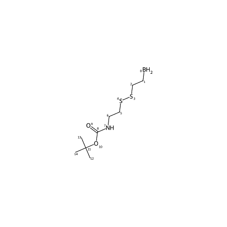 BCCSSCCNC(=O)OC(C)(C)C